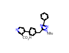 CCCCn1nc(-c2ccccc2)nc1Cc1ccc(-c2ccncc2C(=O)O)cc1